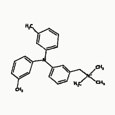 Cc1cccc(N(c2cccc(C)c2)c2cccc(C[N+](C)(C)C)c2)c1